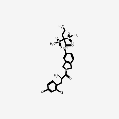 CCCC(C(=O)Nc1ccc2c(c1)CN(C(=O)[C@H](N)Cc1ccc(Cl)cc1Cl)C2)(S(C)(=O)=O)S(C)(=O)=O